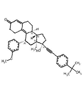 COc1cccc([C@H]2C[C@@]3(C)[C@@H](CC[C@@]3(O)C#Cc3ccc(C(C)(C)C)cc3)[C@@H]3CCC4=CC(=O)CCC4=C32)c1